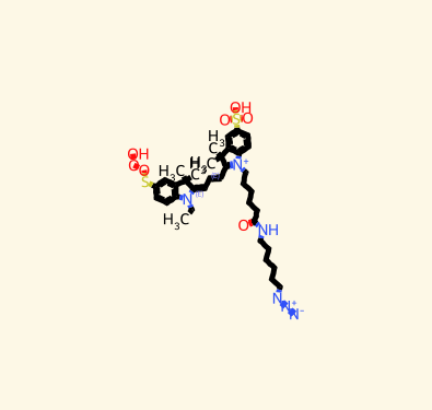 CCN1/C(=C/C=C/C2=[N+](CCCCCC(=O)NCCCCCCN=[N+]=[N-])c3ccc(S(=O)(=O)O)cc3C2(C)C)C(C)(C)c2cc(SOOO)ccc21